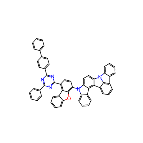 c1ccc(-c2ccc(-c3nc(-c4ccccc4)nc(-c4ccc(-n5c6ccccc6c6c7c8cccc9c%10ccccc%10n(c7ccc65)c98)c5oc6ccccc6c45)n3)cc2)cc1